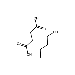 CCCCO.O=C(O)CCC(=O)O